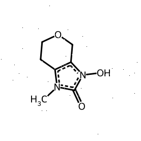 Cn1c2c(n(O)c1=O)COCC2